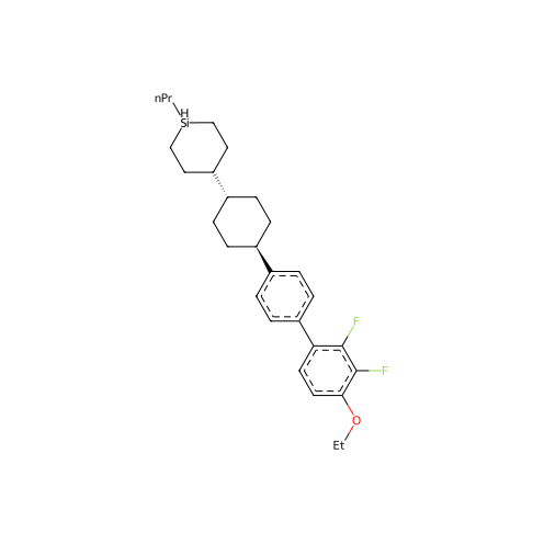 CCC[SiH]1CCC([C@H]2CC[C@H](c3ccc(-c4ccc(OCC)c(F)c4F)cc3)CC2)CC1